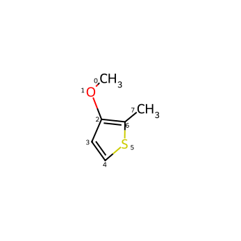 COc1ccsc1C